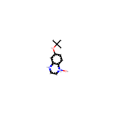 CC(C)(C)Oc1ccc2c(c1)ncc[n+]2[O-]